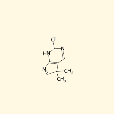 CC1(C)C=NC2=C1C=NC(Cl)N2